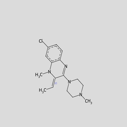 C/C=C1/C(N2CCN(C)CC2)=Nc2ccc(Cl)cc2N1C